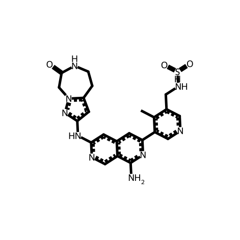 Cc1c(CN[SH](=O)=O)cncc1-c1cc2cc(Nc3cc4n(n3)CC(=O)NCC4)ncc2c(N)n1